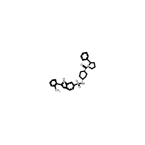 Cc1ccccc1-c1cc2ccc(S(=O)(=O)N[C@H]3CC[C@H](C(=O)N4CCCC4c4ccccc4)CC3)cc2[nH]1